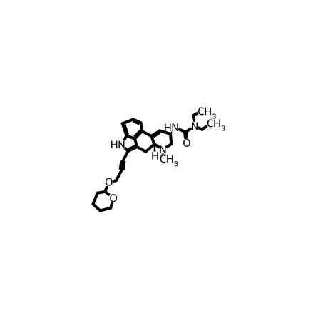 CCN(CC)C(=O)N[C@H]1C=C2c3cccc4[nH]c(C#CCOC5CCCCO5)c(c34)C[C@H]2N(C)C1